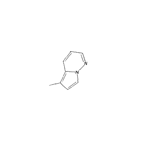 Cc1ccn2ncccc12